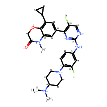 CC(C)N1C(=O)COc2c(C3CC3)cc(-c3nc(Nc4ccc(N5CCC(N(C)C)CC5)c(F)c4)ncc3F)cc21